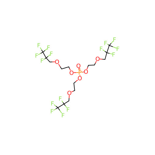 O=P(OCCOCC(F)(F)C(F)(F)F)(OCCOCC(F)(F)C(F)(F)F)OCCOCC(F)(F)C(F)(F)F